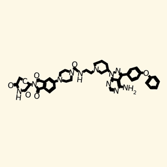 Nc1ncnc2c1c(-c1ccc(Oc3ccccc3)cc1)nn2C1CCCN(CCNC(=O)N2CCN(c3ccc4c(c3)C(=O)N(C3CCC(=O)NC3=O)C4=O)CC2)C1